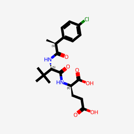 C[C@H](C(=O)N[C@H](C(=O)N[C@H](CCC(=O)O)C(=O)O)C(C)(C)C)c1ccc(Cl)cc1